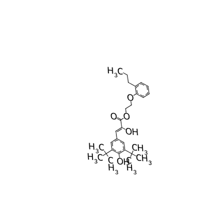 CCCc1ccccc1OCCOC(=O)C(O)=Cc1cc(C(C)(C)C)c(O)c(C(C)(C)C)c1